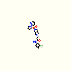 Cc1ccc(NC(=O)CCN2CC3CN(S(=O)(=O)c4cccnc4N4CCCC4)CC3C2)cc1Cl